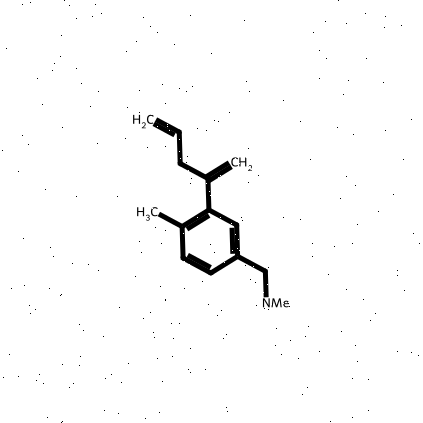 C=CCC(=C)c1cc(CNC)ccc1C